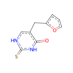 O=c1[nH]c(=S)[nH]cc1Cc1ccco1